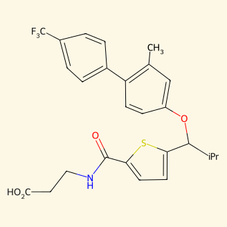 Cc1cc(OC(c2ccc(C(=O)NCCC(=O)O)s2)C(C)C)ccc1-c1ccc(C(F)(F)F)cc1